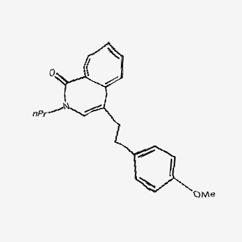 CCCn1cc(CCc2ccc(OC)cc2)c2ccccc2c1=O